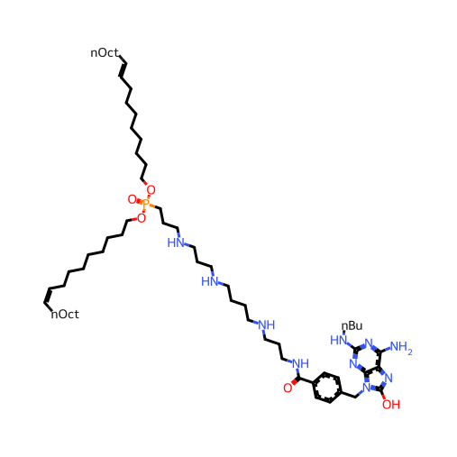 CCCCCCCCC=CCCCCCCCCOP(=O)(CCCNCCCNCCCCNCCCNC(=O)c1ccc(Cn2c(O)nc3c(N)nc(NCCCC)nc32)cc1)OCCCCCCCC/C=C\CCCCCCCC